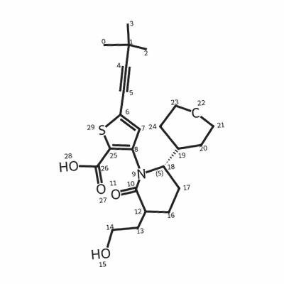 CC(C)(C)C#Cc1cc(N2C(=O)C(CCO)CC[C@H]2C2CCCCC2)c(C(=O)O)s1